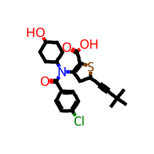 CC(C)(C)C#CC1CC(N(C(=O)c2ccc(Cl)cc2)C2CCC(O)CC2)=C(C(=O)O)S1